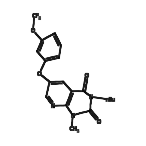 CCCCn1c(=O)c2cc(Oc3cccc(OC(F)(F)F)c3)cnc2n(C)c1=O